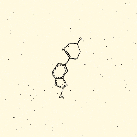 C[C@H]1CCC(c2ccc3cn(C)nc3c2)=NC1